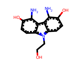 Nc1c(O)ccc2c1c1c(N)c(O)ccc1n2CCO